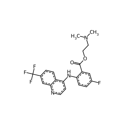 CN(C)CCOC(=O)c1cc(F)ccc1Nc1ccnc2cc(C(F)(F)F)ccc12